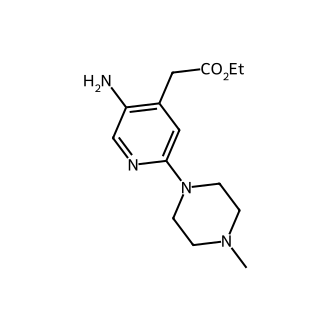 CCOC(=O)Cc1cc(N2CCN(C)CC2)ncc1N